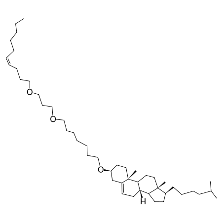 CCCCC/C=C\CCCOCCCOCCCCCCCO[C@H]1CC[C@@]2(C)C(=CC[C@@H]3C2CC[C@@]2(C)C3CC[C@@H]2CCCCC(C)C)C1